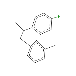 Cc1cccc(CC(C)c2ccc(F)cc2)c1